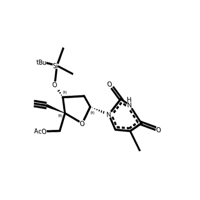 C#C[C@]1(COC(C)=O)O[C@@H](n2cc(C)c(=O)[nH]c2=O)C[C@H]1O[Si](C)(C)C(C)(C)C